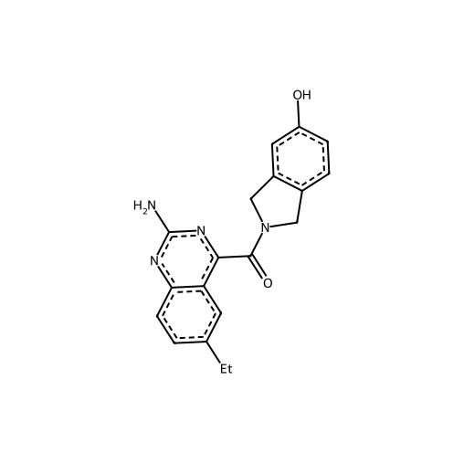 CCc1ccc2nc(N)nc(C(=O)N3Cc4ccc(O)cc4C3)c2c1